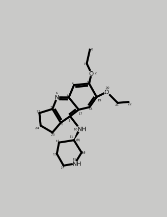 CCOc1cc2nc3c(c(N[C@@H]4CCCNC4)c2cc1OCC)CCC3